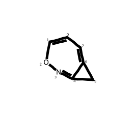 C1=CON=C2CC2=C1